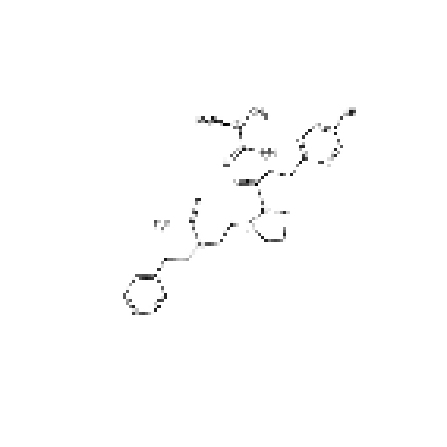 CN[C@@H](C)C(=O)NC(Cc1ccc(O)cc1)C(=O)N1CCC[C@H]1CCN(CCc1ccccc1)C(=O)C(F)(F)F